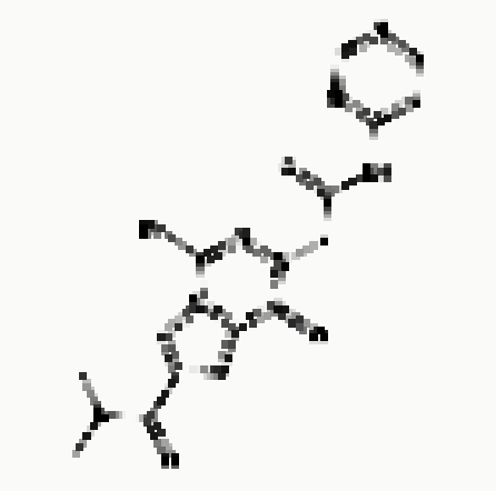 CC(C)c1nn(CC(=O)Nc2ccncn2)c(=O)c2cc(C(=O)N(C)C)cn12